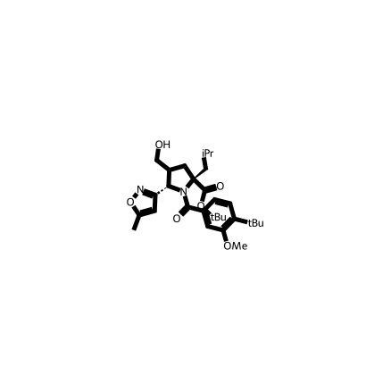 COc1cc(C(=O)N2[C@H](c3cc(C)on3)C(CO)C[C@]2(CC(C)C)C(=O)OC(C)(C)C)ccc1C(C)(C)C